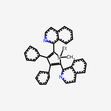 CC[Si]1(C)C(c2nccc3ccccc23)=C(c2ccccc2)C(c2ccccc2)=C1c1nccc2ccccc12